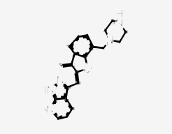 O=C1C(=Cc2n[nH]c3ncccc23)Oc2c(CN3CCNCC3)cccc21